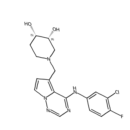 O[C@@H]1CN(Cc2ccn3ncnc(Nc4ccc(F)c(Cl)c4)c23)CC[C@@H]1O